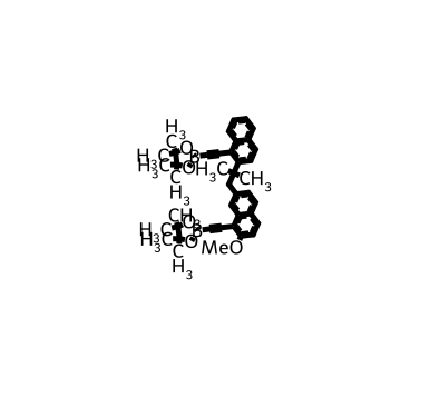 COc1ccc2ccc(CC(C)(C)c3ccc4ccccc4c3C#CB3OC(C)(C)C(C)(C)O3)cc2c1C#CB1OC(C)(C)C(C)(C)O1